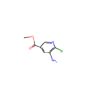 COC(=O)c1cnc(Br)c(N)c1